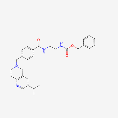 CC(C)c1cnc2c(c1)CN(Cc1ccc(C(=O)NCCNC(=O)OCc3ccccc3)cc1)CC2